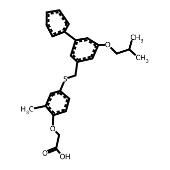 Cc1cc(SCc2cc(OCC(C)C)cc(-c3ccccc3)c2)ccc1OCC(=O)O